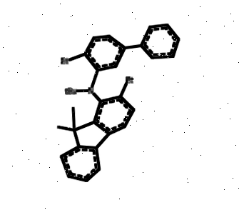 CCc1ccc(-c2ccccc2)cc1N(c1c(CC)ccc2c1C(C)(C)c1ccccc1-2)C(C)(C)C